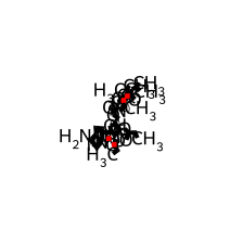 CCC(=O)O[C@H]1[C@@H](OC(=O)CC)[C@](C#N)(c2ccc3c(N)ncnn23)O[C@@H]1CO[P@](=O)(N[C@@H](C)C(=O)OC(C)C)OCOC(=O)OC(C)C